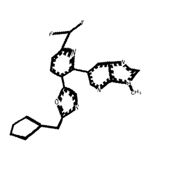 Cn1cnc2cc(-c3nc(C(F)F)ccc3-c3cnc(CC4CCCC4)o3)cnc21